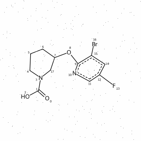 O=C(O)N1CCCC(Oc2ncc(F)cc2Br)C1